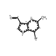 Cc1cc(Br)c2scc(C=O)c2n1